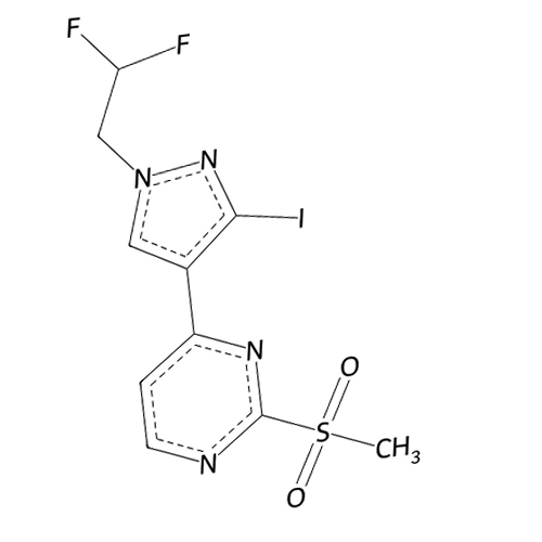 CS(=O)(=O)c1nccc(-c2cn(CC(F)F)nc2I)n1